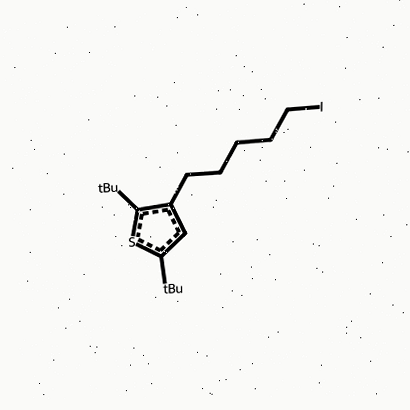 CC(C)(C)c1cc(CCCCCI)c(C(C)(C)C)s1